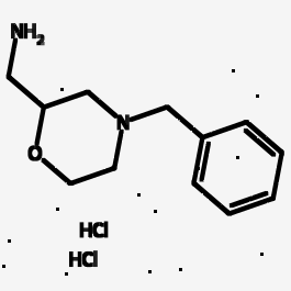 Cl.Cl.NCC1CN(Cc2ccccc2)CCO1